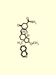 CO[C@@H]1C[C@H]2[C@@H]3OC4=C(C=C3CC[C@]2(C)[C@H]1c1ccc2ccncc2c1)C(=O)CC(C(N)=O)C4